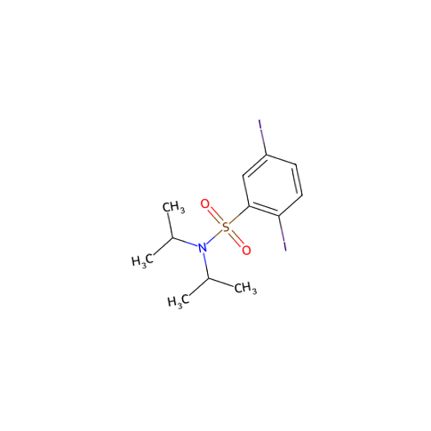 CC(C)N(C(C)C)S(=O)(=O)c1cc(I)ccc1I